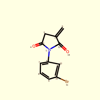 C=C1CC(=O)N(c2cccc(Br)c2)C1=O